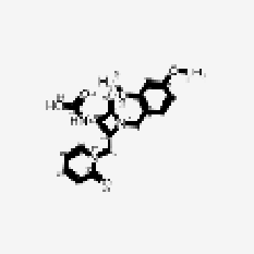 COc1ccc(CN2C(=O)[C@@H](NC(=O)O)[C@@H]2Cn2ccccc2=O)c(OC)c1